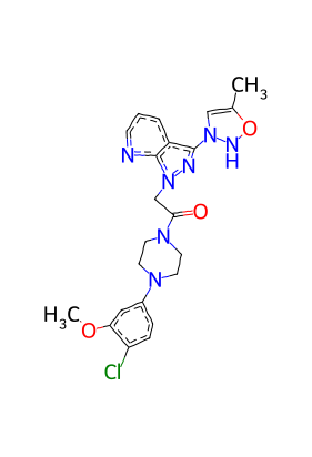 COc1cc(N2CCN(C(=O)Cn3nc(N4C=C(C)ON4)c4cccnc43)CC2)ccc1Cl